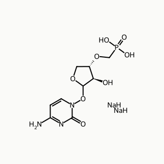 Nc1ccn(OC2OC[C@H](OCP(=O)(O)O)[C@H]2O)c(=O)n1.[NaH].[NaH]